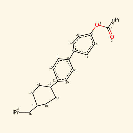 CCCC(=O)Oc1ccc(-c2ccc(C3CCC(CC(C)C)CC3)cc2)cc1